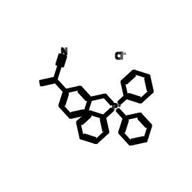 C=C(C#N)c1cccc(C[P+](c2ccccc2)(c2ccccc2)c2ccccc2)c1.[Cl-]